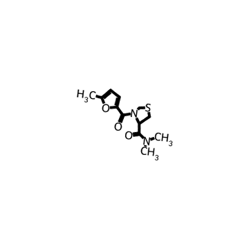 Cc1ccc(C(=O)N2CSCC2C(=O)N(C)C)o1